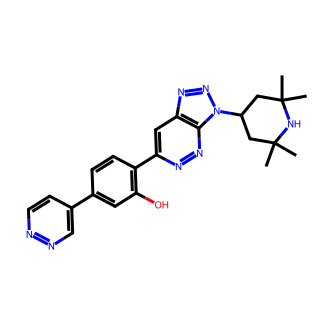 CC1(C)CC(n2nnc3cc(-c4ccc(-c5ccnnc5)cc4O)nnc32)CC(C)(C)N1